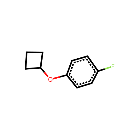 Fc1ccc(OC2CCC2)cc1